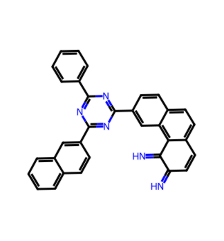 N=C1C=Cc2ccc3ccc(-c4nc(-c5ccccc5)nc(-c5ccc6ccccc6c5)n4)cc3c2C1=N